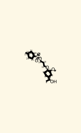 COc1cc(C(C)O)ccc1OCCCOS(=O)(=O)c1ccc(C)cc1